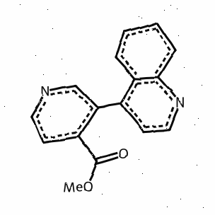 COC(=O)c1ccncc1-c1ccnc2ccccc12